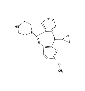 COc1ccc2c(c1)N(C1CC1)c1ccccc1C(N1CCNCC1)=N2